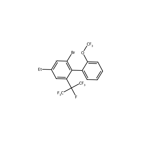 CCc1[c]c(Br)c(-c2ccccc2OC(F)(F)F)c(C(F)(C(F)(F)F)C(F)(F)F)c1